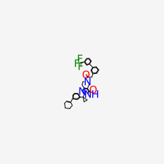 O=C(Cc1cccc(-c2cccc(C(F)(F)F)c2)c1)N1CCc2nc(C3(c4cccc(C5=CCCCC5)c4)CC3)[nH]c(=O)c2C1